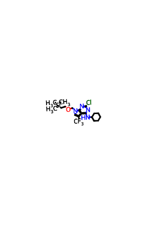 C[Si](C)(C)CCOCn1cc(C(F)(F)F)c2c(NC3CCCCC3)nc(Cl)nc21